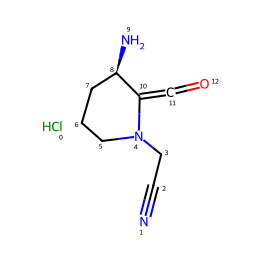 Cl.N#CCN1CCC[C@@H](N)C1=C=O